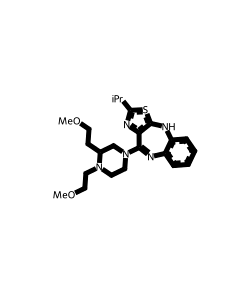 COCCC1CN(C2=Nc3ccccc3Nc3sc(C(C)C)nc32)CCN1CCOC